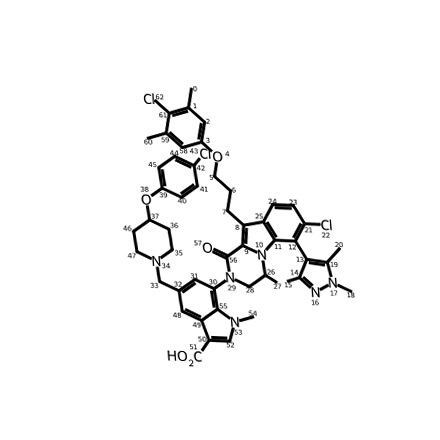 Cc1cc(OCCCc2c3n(c4c(-c5c(C)nn(C)c5C)c(Cl)ccc24)C(C)CN(c2cc(CN4CCC(Oc5ccc(Cl)cc5)CC4)cc4c(C(=O)O)cn(C)c24)C3=O)cc(C)c1Cl